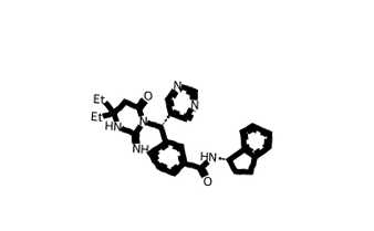 CCC1(CC)CC(=O)N([C@H](c2cncnc2)c2cccc(C(=O)N[C@H]3CCc4ccccc43)c2)C(=N)N1